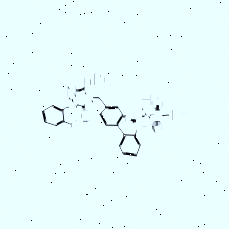 CCCCc1nn(-c2ccccc2C(F)(F)F)c(=O)n1Cc1ccc(-c2ccccc2S(=O)(=O)NS(=O)(=O)C(C)C)cc1